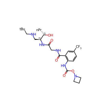 CCC[C@H](O)[C@H](CNCC(C)(C)C)NC(=O)CNC(=O)c1cc(C(F)(F)F)ccc1NC(=O)ON1CCC1